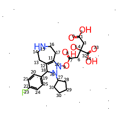 O=C(O)CC(O)(CC(=O)ON1C2=C(CCNCC2)C(c2ccc(F)cc2)N1C1CCCC1)C(=O)O